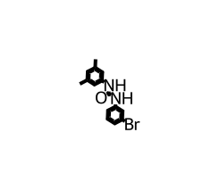 Cc1cc(C)cc(NC(=O)Nc2cccc(Br)c2)c1